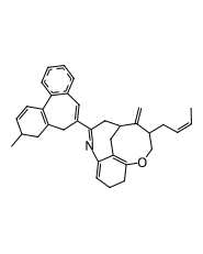 C=C1C(C/C=C\C)COC2=C3CC1CC(C1=Cc4ccccc4C4=C(C1)CC(C)C=C4)=NC3=CCC2